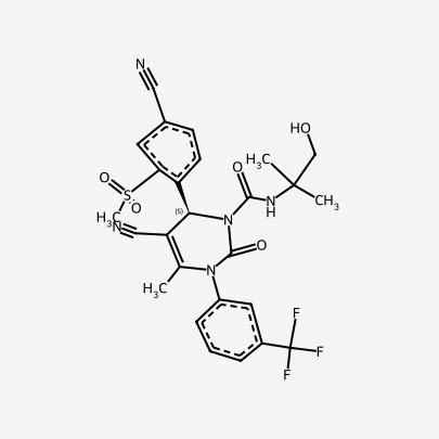 CC1=C(C#N)[C@@H](c2ccc(C#N)cc2S(C)(=O)=O)N(C(=O)NC(C)(C)CO)C(=O)N1c1cccc(C(F)(F)F)c1